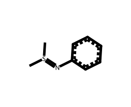 CS(C)=Nc1ccccc1